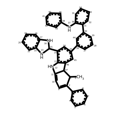 CC1C(c2ccccc2)=CC=C2Nc3c(C4Nc5ccccc5N4)cc(-c4cccc(-c5ccccc5Nc5ccccc5)c4)cc3C21